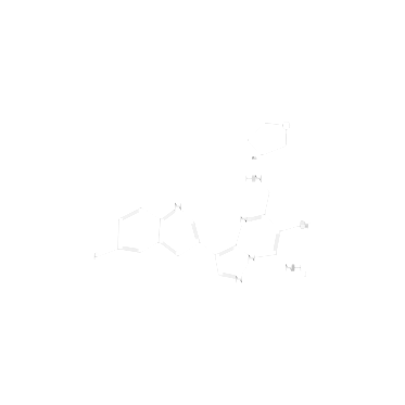 Nc1c(Br)c(CN[C@@H]2CCOC2)nc2c(-c3cnc4ccc(F)cc4c3)cnn12